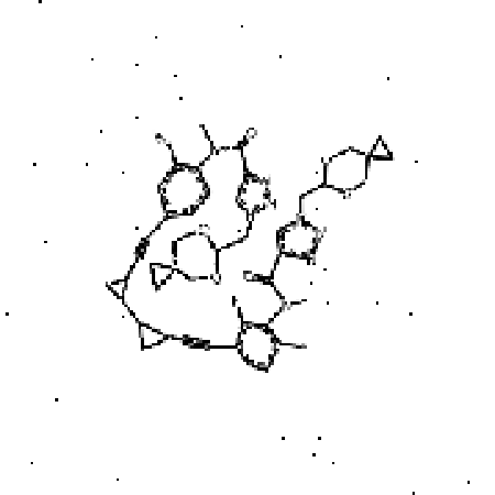 Cc1ccc(C#CC2CC2C2CC2C#Cc2ccc(N(C)C(=O)c3cn(CC4OCC5(CC5)CO4)nn3)c(Br)c2)c(F)c1N(C)C(=O)c1cn(CC2OCC3(CC3)CO2)nn1